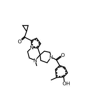 Cc1cc(C(=O)N2CCC3(CC2)c2ccc(C(=O)C4CC4)n2CCN3C)ccc1O